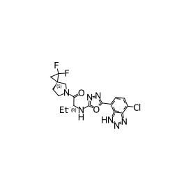 CC[C@@H](Nc1nnc(-c2ccc(Cl)c3nn[nH]c23)o1)C(=O)N1CC[C@@]2(C1)CC2(F)F